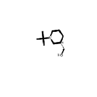 CC(C)(C)N1CCC[C@H](CO)C1